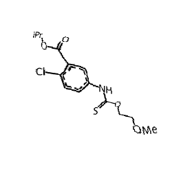 COCCOC(=S)Nc1ccc(Cl)c(C(=O)OC(C)C)c1